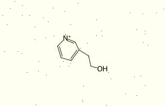 OCCC1=CC=C[N+]=C1